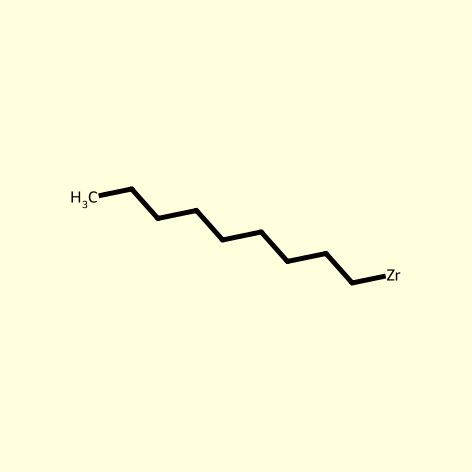 CCCCCCCC[CH2][Zr]